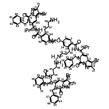 COc1ccc(C(=O)NC(c2cc3c(Br)c(C)nn3c(=O)n2Cc2ccccc2)C(C)C)c(CCCN)c1.Cc1cccc(C(=O)N(CCCN)C(c2cc3c(Br)c(C)nn3c(=O)n2Cc2ccccc2)C(C)C)c1.Cc1nn2c(=O)n(Cc3ccccc3)c(C(NC(=O)c3ccc(F)cc3CCCN)C(C)C)cc2c1Br